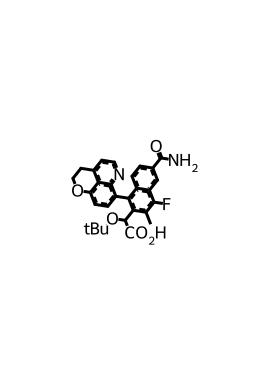 Cc1c(C(OC(C)(C)C)C(=O)O)c(-c2ccc3c4c(ccnc24)CCO3)c2ccc(C(N)=O)cc2c1F